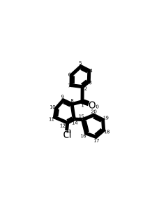 O=C(c1ccccc1)c1cccc(Cl)c1-c1ccccc1